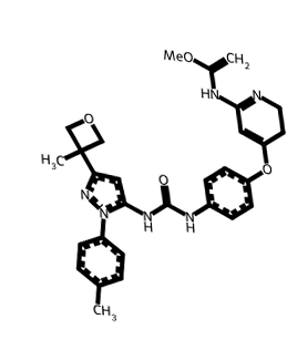 C=C(NC1=NCCC(Oc2ccc(NC(=O)Nc3cc(C4(C)COC4)nn3-c3ccc(C)cc3)cc2)=C1)OC